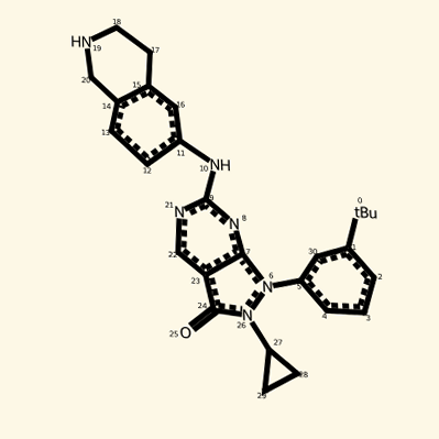 CC(C)(C)c1cccc(-n2c3nc(Nc4ccc5c(c4)CCNC5)ncc3c(=O)n2C2CC2)c1